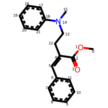 COC(=O)C(=Cc1ccccc1)CCN(C)c1ccccc1